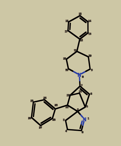 C1=NC2(CC1)C1C=C(N3CCC(c4ccccc4)CC3)C(C1)C2c1ccccc1